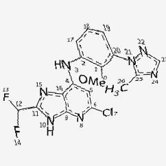 COc1c(Nc2cc(Cl)nc3[nH]c(C(F)F)nc23)cccc1-n1ncnc1C